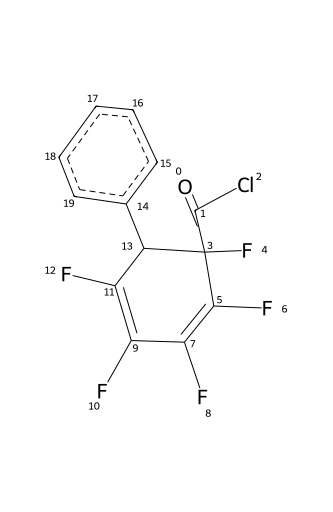 O=C(Cl)C1(F)C(F)=C(F)C(F)=C(F)C1c1ccccc1